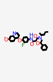 CC/C=C(\C)N1CC(c2ccccc2)OC(C(=O)Nc2ccc(Oc3ccnc4cc(OC)ccc34)c(F)c2)C1=O